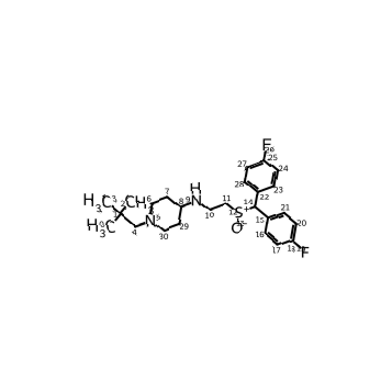 CC(C)(C)CN1CCC(NCC[S+]([O-])C(c2ccc(F)cc2)c2ccc(F)cc2)CC1